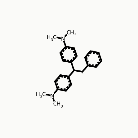 CN(C)c1ccc(C([CH]c2ccccc2)c2ccc(N(C)C)cc2)cc1